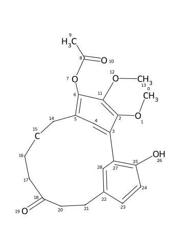 COc1c2cc(c(OC(C)=O)c1OC)CCCCC(=O)CCc1ccc(O)c-2c1